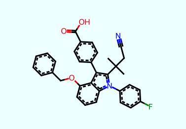 CC(C)(CC#N)c1c(-c2ccc(C(=O)O)cc2)c2c(OCc3ccccc3)cccc2n1-c1ccc(F)cc1